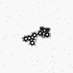 CC1(c2ccccc2)c2cc(-c3ccc4c(c3)Oc3ccccc3C43c4ccccc4-c4ccccc43)ccc2-c2cc3ccccc3cc21